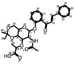 CC(=O)NC1C(Oc2ccccc2C(=O)/C=C/c2ccccc2)OC2COC(C)(C)OC2C1OC(C)C(=O)O